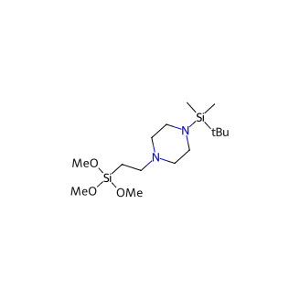 CO[Si](CCN1CCN([Si](C)(C)C(C)(C)C)CC1)(OC)OC